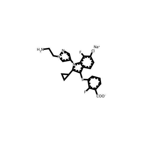 NCCn1cc(-n2c(C3CC3)c(Sc3cccc(C(=O)[O-])c3F)c3ccc(Cl)c(F)c32)cn1.[Na+]